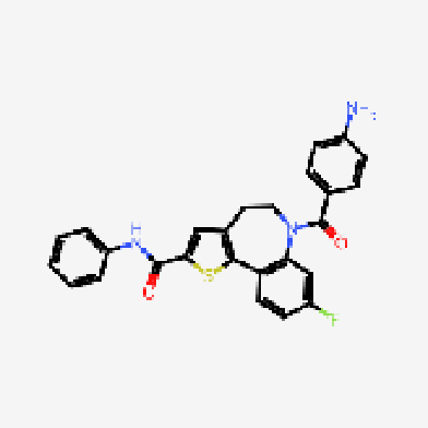 Nc1ccc(C(=O)N2CCc3cc(C(=O)Nc4ccccc4)sc3-c3ccc(F)cc32)cc1